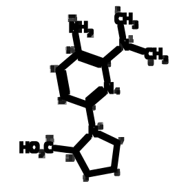 CN(C)c1nc(N2CCCC2C(=O)O)ccc1N